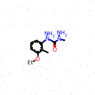 CCOc1cccc(N(N)C(=O)N(C)N)c1C